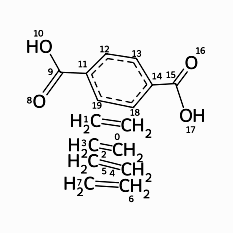 C=C.C=C.C=C.C=C.O=C(O)c1ccc(C(=O)O)cc1